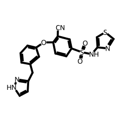 N#Cc1cc(S(=O)(=O)Nc2cscn2)ccc1Oc1cccc(Cc2cc[nH]n2)c1